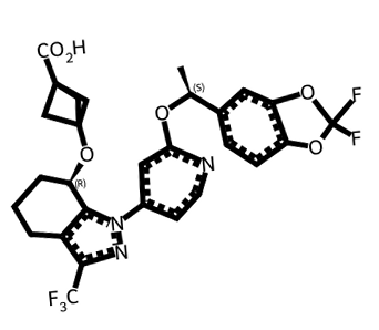 C[C@H](Oc1cc(-n2nc(C(F)(F)F)c3c2[C@H](OC24CC(C(=O)O)(C2)C4)CCC3)ccn1)c1ccc2c(c1)OC(F)(F)O2